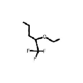 CCCC(OCC)C(F)(F)F